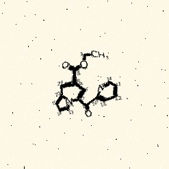 CCOC(=O)c1cc(C(=O)c2ccccn2)n2cccc2c1